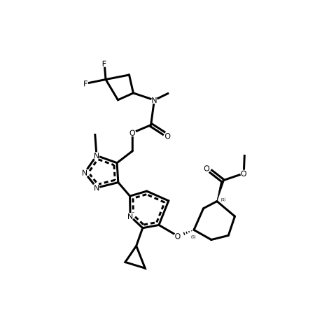 COC(=O)[C@H]1CCC[C@H](Oc2ccc(-c3nnn(C)c3COC(=O)N(C)C3CC(F)(F)C3)nc2C2CC2)C1